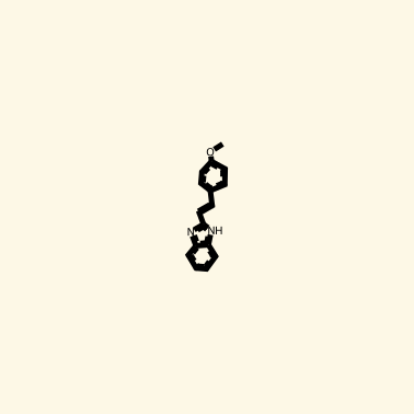 COc1ccc(C=Cc2nc3ccccc3[nH]2)cc1